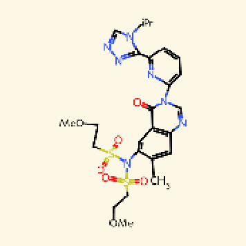 COCCS(=O)(=O)N(c1cc2c(=O)n(-c3cccc(-c4nncn4C(C)C)n3)cnc2cc1C)S(=O)(=O)CCOC